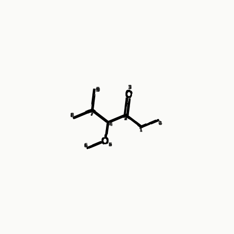 CCC(=O)C(OC)C(C)C